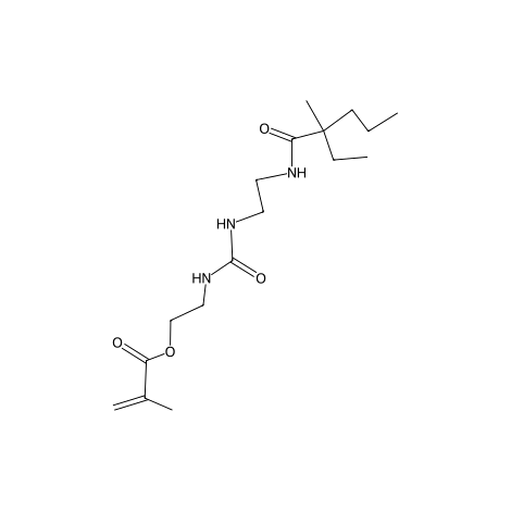 C=C(C)C(=O)OCCNC(=O)NCCNC(=O)C(C)(CC)CCC